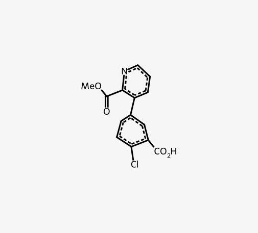 COC(=O)c1ncccc1-c1ccc(Cl)c(C(=O)O)c1